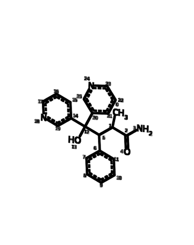 CC(C(N)=O)C(c1ccccc1)C(O)(c1cccnc1)c1cccnc1